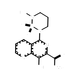 COC(=O)c1nc(N2CCCN(C)S2(=O)=O)c2cccnc2c1O